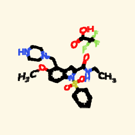 CCNC(=O)c1cc2c(CN3CCNCC3)c(OC)ccc2n1S(=O)(=O)c1ccccc1.O=C(O)C(F)(F)F